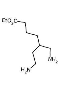 CCOC(=O)CCCC(CN)CCN